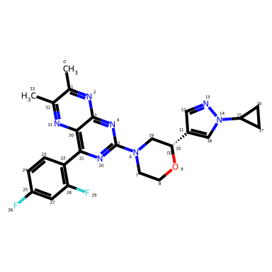 Cc1nc2nc(N3CCO[C@@H](c4cnn(C5CC5)c4)C3)nc(-c3ccc(F)cc3F)c2nc1C